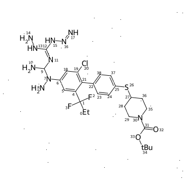 CCC(F)(F)c1cc(N(N)C(N)/N=C(\NN)NN=N)cc(Cl)c1-c1ccc(SC2CCN(C(=O)OC(C)(C)C)CC2)cc1